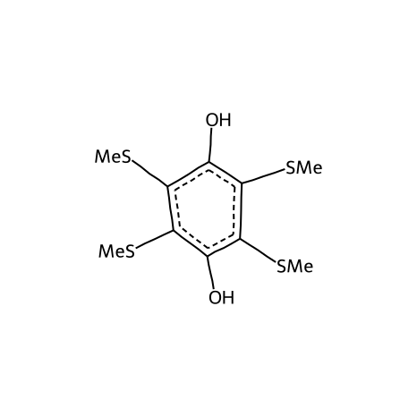 CSc1c(O)c(SC)c(SC)c(O)c1SC